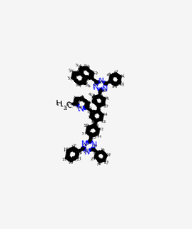 Cc1cccc(-c2cc(-c3ccc(-c4nc(-c5ccccc5)nc(-c5ccccc5)n4)cc3)ccc2-c2ccc(-c3nc(-c4ccccc4)nc(-c4cccc5ccccc45)n3)cc2)n1